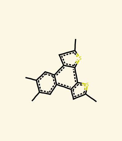 Cc1cc2c3cc(C)c(C)cc3c3cc(C)sc3c2s1